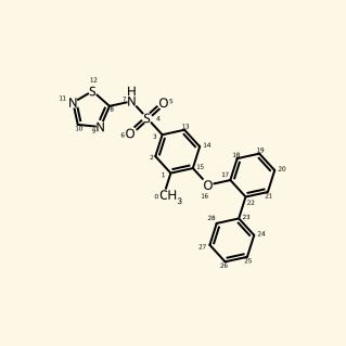 Cc1cc(S(=O)(=O)Nc2ncns2)ccc1Oc1ccccc1-c1ccccc1